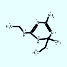 CCNC1=NC(N)=NC(C)(CC)N1